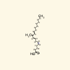 CCCCCCCCC=CC(C)C=CC/C=C\CCCC(=O)O